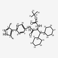 Cc1n[nH]c(C)c1-c1ncc(NC(=O)C(NC(=O)OC(C)(C)C)C(C2CCCCC2)C2CCCCC2)cn1